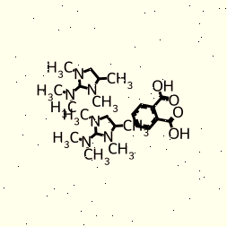 CC1CN(C)C(N(C)C)N1C.CC1CN(C)C(N(C)C)N1C.O=C(O)c1ccccc1C(=O)O